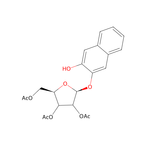 CC(=O)OC[C@H]1O[C@@H](Oc2cc3ccccc3cc2O)C(OC(C)=O)C1OC(C)=O